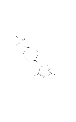 CCc1c(C)c(C(F)(F)F)nn1C1CCN(S(C)(=O)=O)CC1